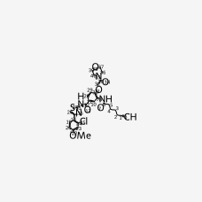 C#CCCCCC(=O)Nc1cc(C(=O)Nc2nc(-c3ccc(OC)cc3Cl)cs2)ccc1OCC(=O)N1CCOCC1